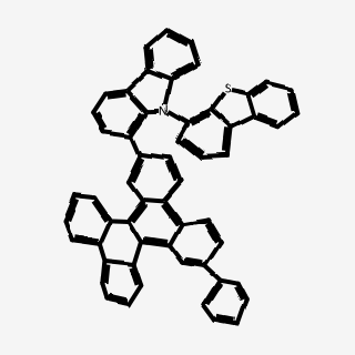 c1ccc(-c2ccc3c4ccc(-c5cccc6c7ccccc7n(-c7cccc8c7sc7ccccc78)c56)cc4c4c5ccccc5c5ccccc5c4c3c2)cc1